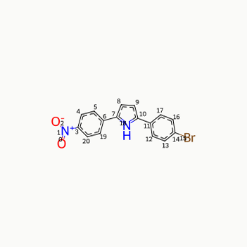 O=[N+]([O-])c1ccc(-c2ccc(-c3ccc(Br)cc3)[nH]2)cc1